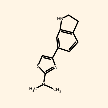 CN(C)c1nc(-c2ccc3c(c2)NCC3)cs1